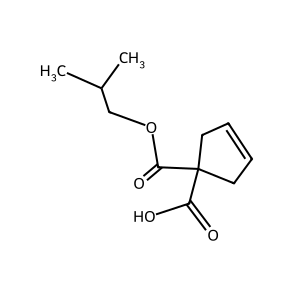 CC(C)COC(=O)C1(C(=O)O)CC=CC1